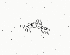 C/C=C\C(C)C1CC1[N@+]1(C)C=CC(CC(C)(C)C)=CC1C